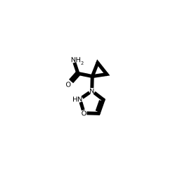 NC(=O)C1(N2C=CON2)CC1